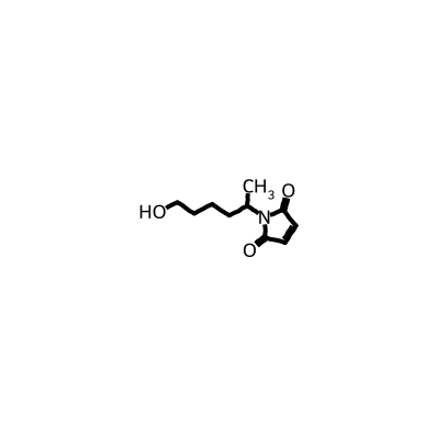 CC(CCCCO)N1C(=O)C=CC1=O